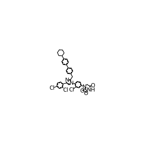 O=C1CN(c2ccc(-n3cc(-c4ccc(Cl)cc4Cl)nc3Cc3ccc(-c4ccc(C5CCCCC5)cc4)cc3)c(Cl)c2)S(=O)(=O)N1